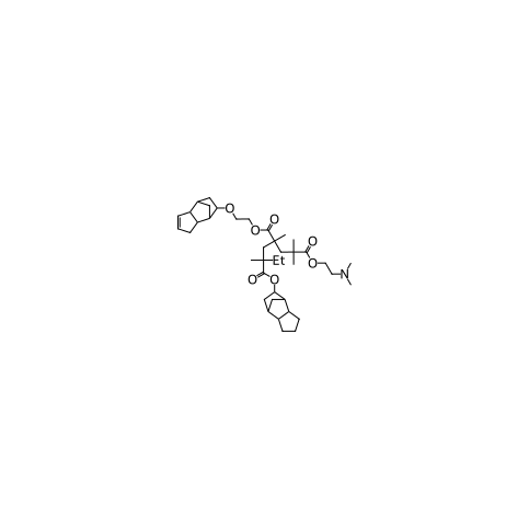 CCC(C)(CC(C)(CC(C)(C)C(=O)OCCN(C)C)C(=O)OCCOC1CC2CC1C1CC=CC21)C(=O)OC1CC2CC1C1CCCC21